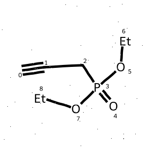 C#CCP(=O)(OCC)OCC